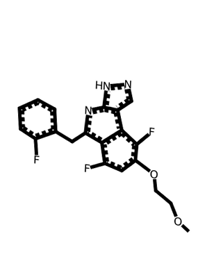 COCCOc1cc(F)c2c(Cc3ccccc3F)nc3[nH]ncc3c2c1F